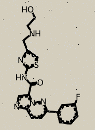 O=C(Nc1nc(CNCCO)cs1)c1cnc2ccc(-c3cccc(F)c3)nn12